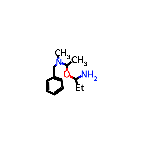 CCC(N)OC(C)N(C)Cc1ccccc1